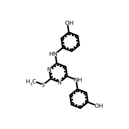 CSc1nc(Nc2cccc(O)c2)cc(Nc2cccc(O)c2)n1